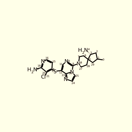 CC1C[C@@H](N)C2(CCN(c3ncc(Sc4ccnc(N)c4Cl)c4nccn34)CC2)C1